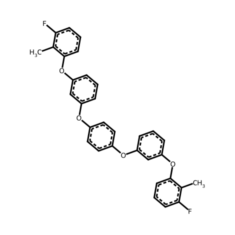 Cc1c(F)cccc1Oc1cccc(Oc2ccc(Oc3cccc(Oc4cccc(F)c4C)c3)cc2)c1